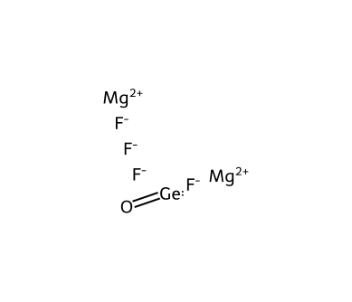 [F-].[F-].[F-].[F-].[Mg+2].[Mg+2].[O]=[Ge]